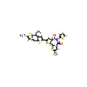 Cc1cc2cc3sc(-c4cc5c(=O)n(-c6cccs6)c(=O)c6cc(C)sc6c5s4)cc3c(C)c2s1